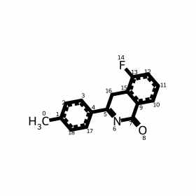 Cc1ccc(C2=NC(=O)c3cccc(F)c3C2)cc1